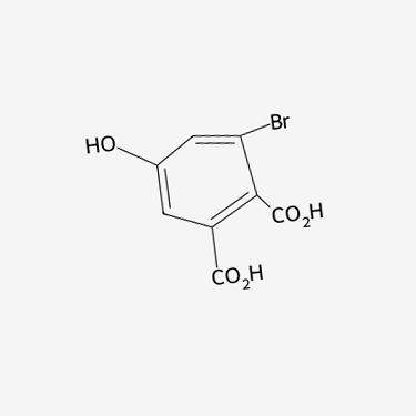 O=C(O)c1cc(O)cc(Br)c1C(=O)O